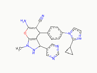 CN1NC(c2cncnc2)C2=C1OC(N)=C(C#N)C2c1ccc(-n2ccnc2C2CC2)cc1